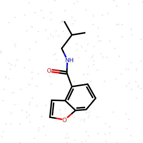 [CH2]C(C)CNC(=O)c1cccc2occc12